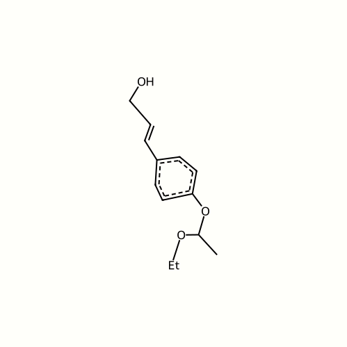 CCOC(C)Oc1ccc(C=CCO)cc1